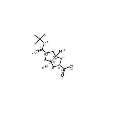 CC(C)(C)OC(=O)N1C[C@@H]2CN(C(=O)Cl)C[C@H]2C1